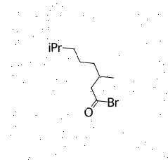 CC(C)CCCC(C)CC(=O)Br